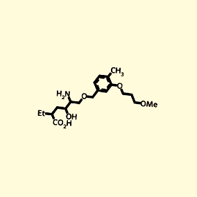 CCC(CC(O)C(N)COCc1ccc(C)c(OCCCOC)c1)C(=O)O